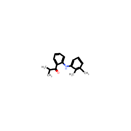 Cc1cccc(Nc2ccccc2C(=O)C(C)C)c1C